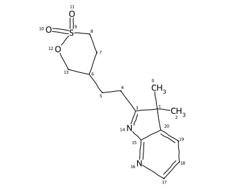 CC1(C)C(CCC2CCS(=O)(=O)OC2)=Nc2ncccc21